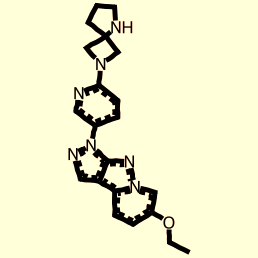 CCOc1ccc2c3cnn(-c4ccc(N5CC6(CCCN6)C5)nc4)c3nn2c1